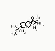 CCC(C)(C)N1CCC2CN(C(=O)C(C)(C)N)CCN2C1